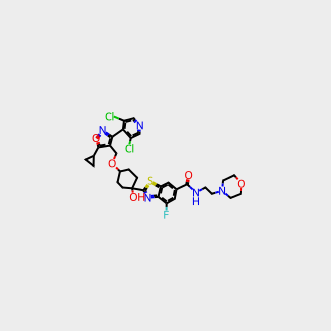 O=C(NCCN1CCOCC1)c1cc(F)c2nc(C3(O)CCC(OCc4c(-c5c(Cl)cncc5Cl)noc4C4CC4)CC3)sc2c1